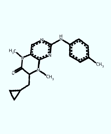 Cc1ccc(Nc2ncc3c(n2)N(C)C(CC2CC2)C(=O)N3C)cc1